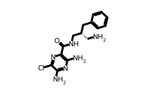 NC[C@H](CNC(=O)c1nc(Cl)c(N)nc1N)Cc1ccccc1